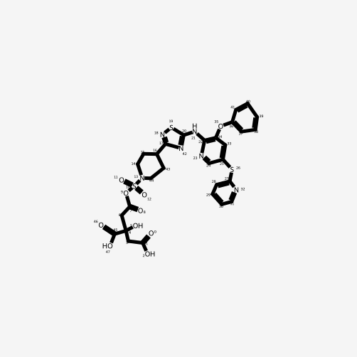 O=C(O)CC(O)(CC(=O)OS(=O)(=O)N1CCC(c2nsc(Nc3ncc(Sc4ccccn4)cc3Oc3ccccc3)n2)CC1)C(=O)O